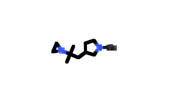 CC(C)(C)N1CCC(CC(C)(C)N2CC2)C1